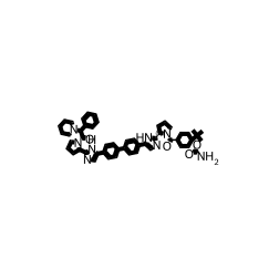 CC(C)(C)[C@]1(OC(N)=O)CC[C@@H](C(=O)N2CCC[C@H]2c2ncc(-c3ccc(-c4ccc(-c5cnc(C6CCCN6C(=O)C(c6ccccc6)N6CCCCC6)[nH]5)cc4)cc3)[nH]2)CC1